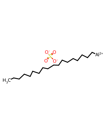 CCCCCCCCCCCCCCCCC[CH2][Al+2].O=S(=O)([O-])[O-]